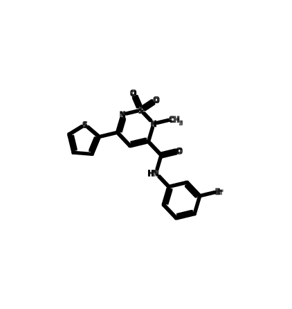 CN1C(C(=O)Nc2cccc(Br)c2)=CC(c2cccs2)=NS1(=O)=O